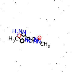 CCNC(=O)N1CC[C@@]2(CCn3nc(-c4cnc(N)c(OC(C)c5ccccc5)c4)cc32)C1